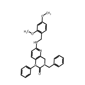 COc1ccc(CNc2ccc3c(n2)CN(Cc2ccccc2)C(=O)N3c2ccccc2)c(OC)c1